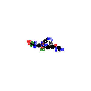 Cc1cc(C(=O)NC2CCC3NCCC32)ccc1-c1ccc(C[C@H](NC(=O)[C@H]2CC[C@H](CN)CC2)C(=O)Nc2ccc(-c3nnc(C(F)(F)C(F)(F)C(=O)O)[nH]3)cc2)cc1.Cl